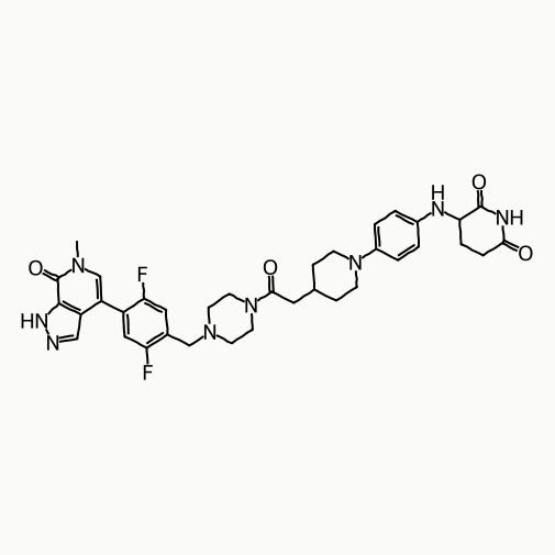 Cn1cc(-c2cc(F)c(CN3CCN(C(=O)CC4CCN(c5ccc(NC6CCC(=O)NC6=O)cc5)CC4)CC3)cc2F)c2cn[nH]c2c1=O